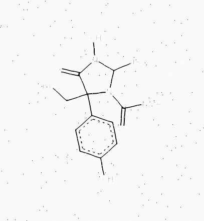 CNC(=O)N1C(C(C)(C)C)N(C)C(=O)C1(CC(C)C)c1ccc(C)cc1